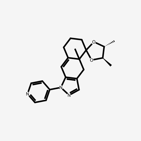 C[C@H]1OC2(CCCC3=Cc4c(cnn4-c4ccncc4)CC32C)O[C@@H]1C